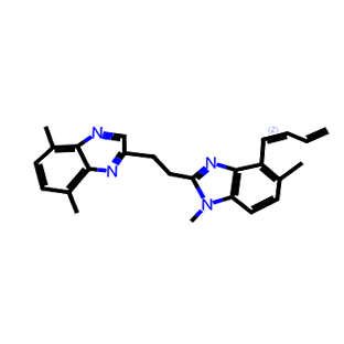 C=C/C=C\c1c(C)ccc2c1nc(CCc1cnc3c(C)ccc(C)c3n1)n2C